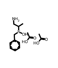 CC(=O)O.CC(=O)O.CC(CN)N(O)Cc1ccccc1